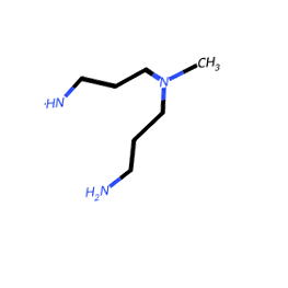 CN(CCC[NH])CCCN